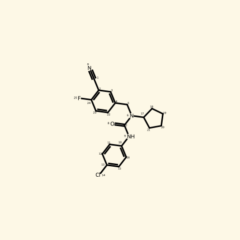 N#Cc1cc(CN(C(=O)Nc2ccc(Cl)cc2)C2CCCC2)ccc1F